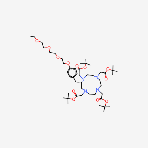 CCOCCOCCOCCOc1ccc(C[C@H]2CN(CC(=O)OC(C)(C)C)CCN(CC(=O)OC(C)(C)C)CCN(CC(=O)OC(C)(C)C)CCN2CC(=O)OC(C)(C)C)cc1